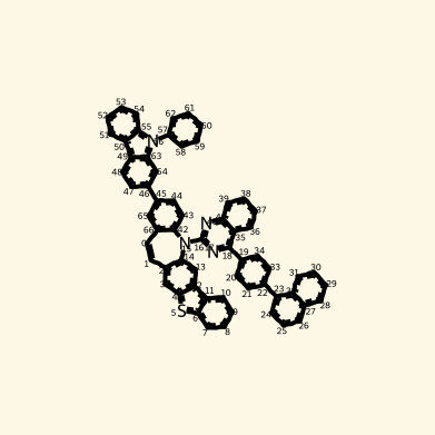 C1=Cc2cc3sc4ccccc4c3cc2N(c2nc(-c3ccc(-c4cccc5ccccc45)cc3)c3ccccc3n2)c2ccc(-c3ccc4c5ccccc5n(-c5ccccc5)c4c3)cc21